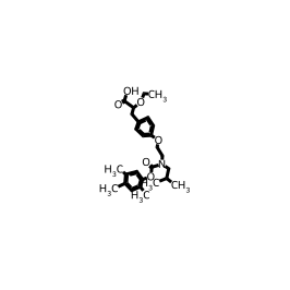 CCOC(Cc1ccc(OCCN(CC(C)C)C(=O)Oc2cc(C)c(C)cc2C)cc1)C(=O)O